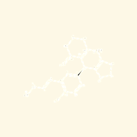 CCOC=Cc1cc([C@@H]2C3=C(CCS3)NC3=C2C(=O)CCC3)ccc1F